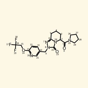 O=C(C1CCCc2nn(Cc3ccc(OCC(F)(F)F)nc3)c(=O)n21)N1CCCC1